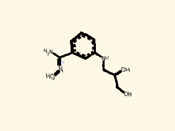 N/C(=N\O)c1cccc(NCC(O)CO)c1